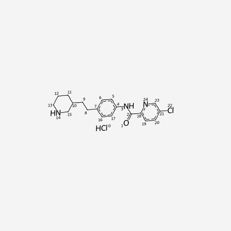 Cl.O=C(Nc1ccc(CCC2CCCNC2)cc1)c1ccc(Cl)cn1